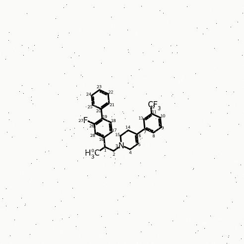 CC(CN1CC=C(c2cccc(C(F)(F)F)c2)CC1)c1ccc(-c2ccccc2)c(F)c1